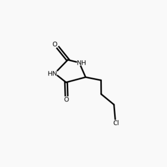 O=C1NC(=O)C(CCCCl)N1